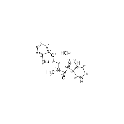 CN(CCOc1ccccc1C(C)(C)C)C(=O)c1n[nH]c2c1CNCC2.Cl